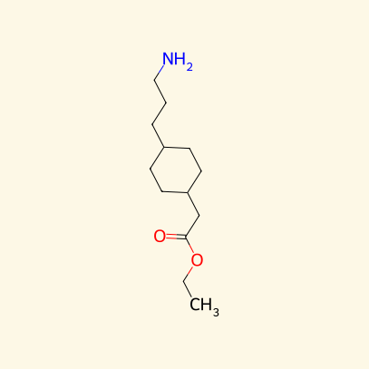 CCOC(=O)CC1CCC(CCCN)CC1